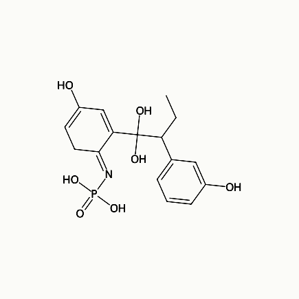 CCC(c1cccc(O)c1)C(O)(O)C1=CC(O)=CCC1=NP(=O)(O)O